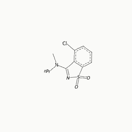 CCCN(C)C1=NS(=O)(=O)c2cccc(Cl)c21